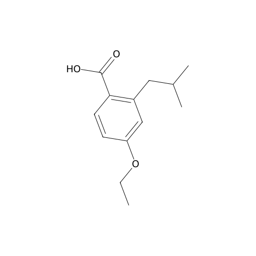 CCOc1ccc(C(=O)O)c(CC(C)C)c1